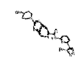 CC(C)n1nnnc1-c1cccc(NC(=O)c2cc3sc(N4CCC(C(C)(C)C)CC4)nc3cn2)n1